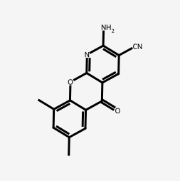 Cc1cc(C)c2oc3nc(N)c(C#N)cc3c(=O)c2c1